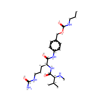 CCCNC(=O)OCc1ccc(NC(=O)[C@H](CCCNC(N)=O)NC(=O)[C@@H](NC)C(C)C)cc1